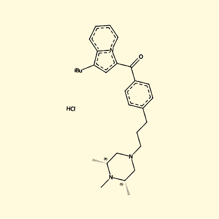 CCC(C)c1cc(C(=O)c2ccc(CCCN3C[C@@H](C)N(C)[C@@H](C)C3)cc2)n2ccccc12.Cl